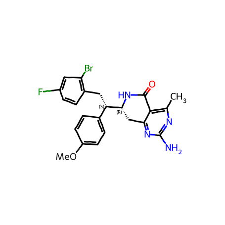 COc1ccc([C@H](Cc2ccc(F)cc2Br)[C@H]2Cc3nc(N)nc(C)c3C(=O)N2)cc1